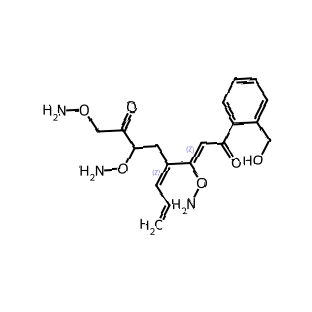 C=C/C=C(CC(ON)C(=O)CON)\C(=C\C(=O)c1ccccc1CO)ON